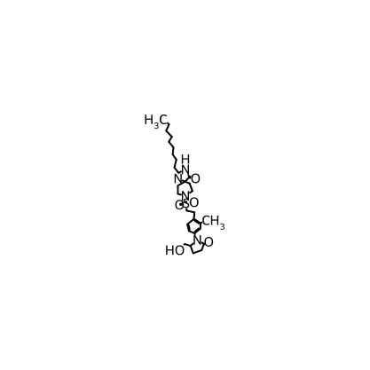 CCCCCCCCCC1=NC2(CCN(S(=O)(=O)CCc3ccc(N4C(=O)CCC4CO)cc3C)CC2)C(=O)N1